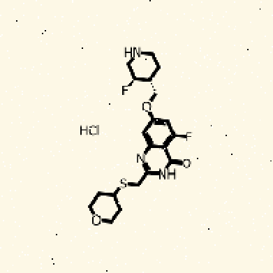 Cl.O=c1[nH]c(CSC2CCOCC2)nc2cc(OC[C@H]3CCNC[C@@H]3F)cc(F)c12